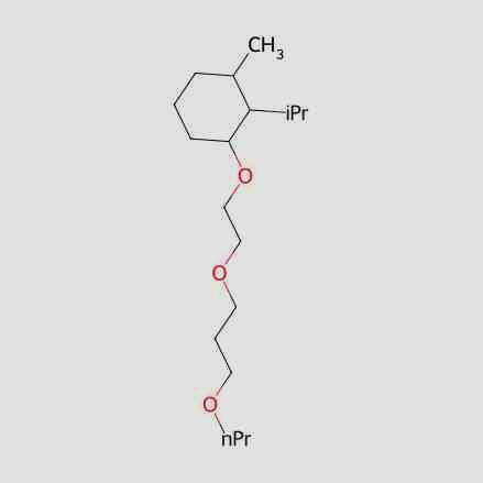 CCCOCCCOCCOC1CCCC(C)C1C(C)C